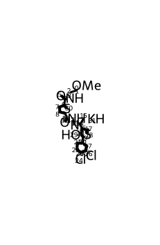 COCCNC(=O)c1ccc(C(=O)NN=C(C)c2csc(-c3ccc(Cl)c(Cl)c3)c2O)s1.[KH]